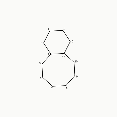 [CH]1CCCC2CCCCCCC12